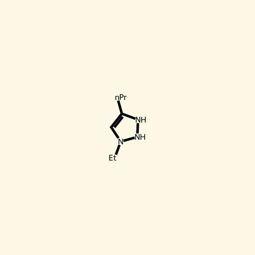 CCCC1=CN(CC)NN1